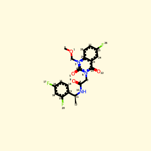 COCn1c(=O)n(CC(=O)N[C@@H](C)c2ccc(F)cc2F)c(=O)c2cc(F)ccc21